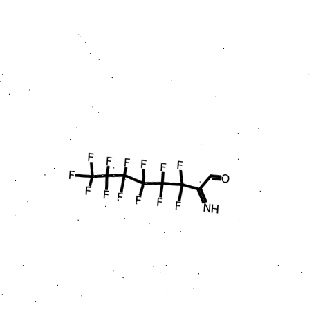 N=C(C=O)C(F)(F)C(F)(F)C(F)(F)C(F)(F)C(F)(F)C(F)(F)F